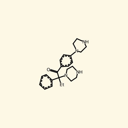 CCC(C(=O)c1ccc(N2CCNCC2)cc1)(c1ccccc1)N1CCNCC1